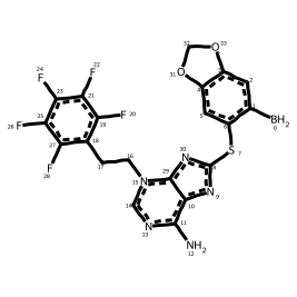 Bc1cc2c(cc1Sc1nc3c(N)ncn(CCc4c(F)c(F)c(F)c(F)c4F)c-3n1)OCO2